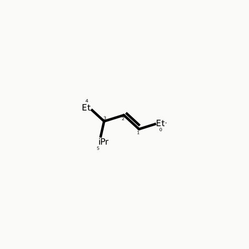 C[CH]/C=C/C(CC)C(C)C